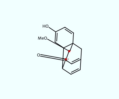 CO/C1=C/C23C=CC(O)=CC2C2C=C(C=CC2C[N+]1=O)C3